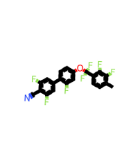 Cc1ccc(C(F)(F)Oc2ccc(-c3cc(F)c(C#N)c(F)c3)c(F)c2)c(F)c1F